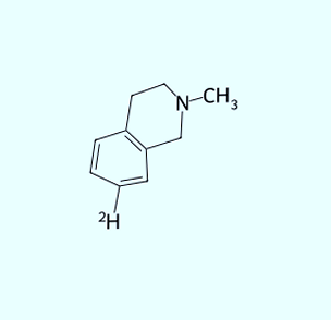 [2H]c1ccc2c(c1)CN(C)CC2